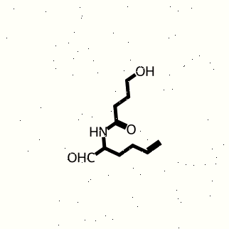 C=CCCC(C=O)NC(=O)CCCO